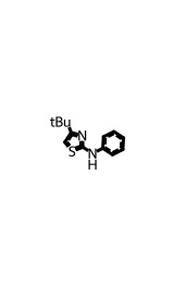 CC(C)(C)c1csc(Nc2ccccc2)n1